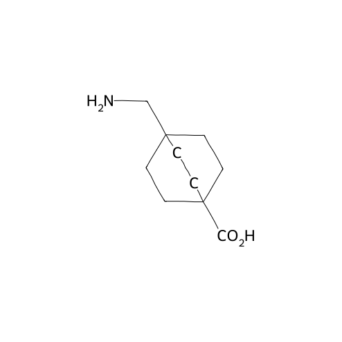 NCC12CCC(C(=O)O)(CC1)CC2